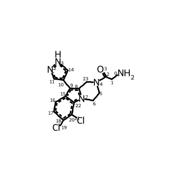 NCC(=O)N1CCn2c(c(-c3cn[nH]c3)c3ccc(Cl)c(Cl)c32)C1